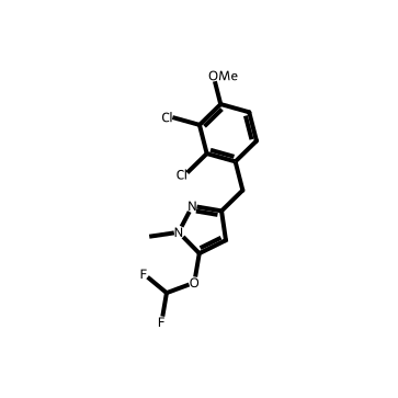 COc1ccc(Cc2cc(OC(F)F)n(C)n2)c(Cl)c1Cl